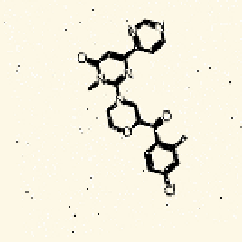 Cc1cc(Cl)ccc1C(=O)C1CN(c2nc(-c3ccncn3)cc(=O)n2C)CCO1